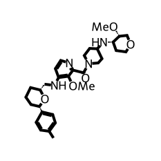 COc1c(NC[C@H]2CCC[C@@H](c3ccc(C)cc3)O2)ccnc1C(=O)N1CCC(N[C@H]2CCOC[C@H]2OC)CC1